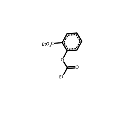 CCOC(=O)c1ccccc1OC(=O)CC